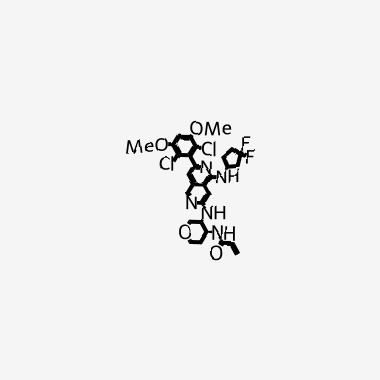 C=CC(=O)N[C@H]1CCOC[C@H]1Nc1cc2c(NC3CCC(F)(F)C3)nc(-c3c(Cl)c(OC)cc(OC)c3Cl)cc2cn1